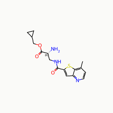 Cc1ccnc2cc(C(=O)NC[C@@H](N)C(=O)OCC3CC3)sc12